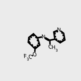 C/C(=N\c1cccc(OC(F)(F)F)c1)c1cccnc1